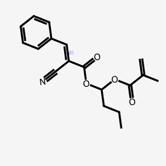 C=C(C)C(=O)OC(CCC)OC(=O)/C(C#N)=C/c1ccccc1